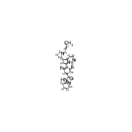 CC#CCN1CCCC1c1cc(-c2c(F)cc(C(=O)Nc3ccccn3)cc2F)n2cnccc12